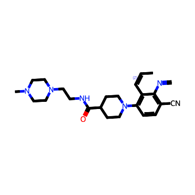 C=Nc1c(C#N)ccc(N2CCC(C(=O)NCCN3CCN(C)CC3)CC2)c1/C=C\C